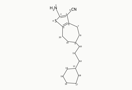 N#Cc1c(N)sc2c1CCC(CCCC1CCCCC1)CC2